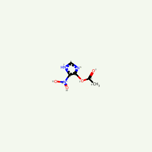 CC(=O)Oc1nc[nH]c1[N+](=O)[O-]